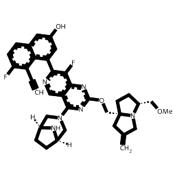 C#Cc1c(F)ccc2cc(O)cc(-c3ncc4c(N5C[C@H]6CC[C@@H](C5)N6)nc(OC[C@]56CC[C@H](COC)N5CC(=C)C6)nc4c3F)c12